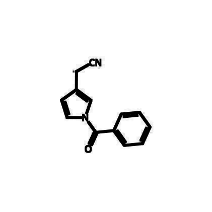 N#C[CH]c1ccn(C(=O)c2ccccc2)c1